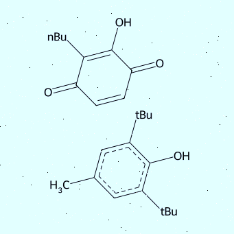 CCCCC1=C(O)C(=O)C=CC1=O.Cc1cc(C(C)(C)C)c(O)c(C(C)(C)C)c1